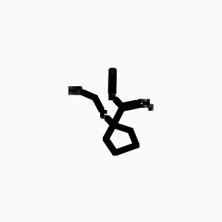 C=C(N=O)C1(CCO)CCCC1